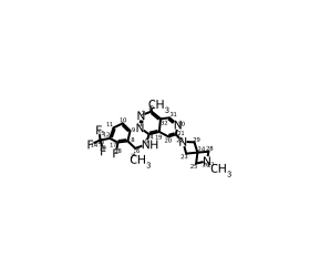 Cc1nnc(N[C@H](C)c2cccc(C(F)(F)F)c2F)c2cc(N3CC4(CN(C)C4)C3)ncc12